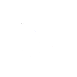 CC(=NO)C(C)(O)c1ccccc1.[Mn]